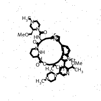 CCn1c(-c2cc(N3CCN(C)CC3)cnc2[C@H](C)OC)c2c3cc(ccc31)-c1csc(n1)C[C@H](NC(=O)N1CCN(C)C[C@@H]1COC)C(=O)N1CCC[C@H](N1)C(=O)OCC(C)(C)C2